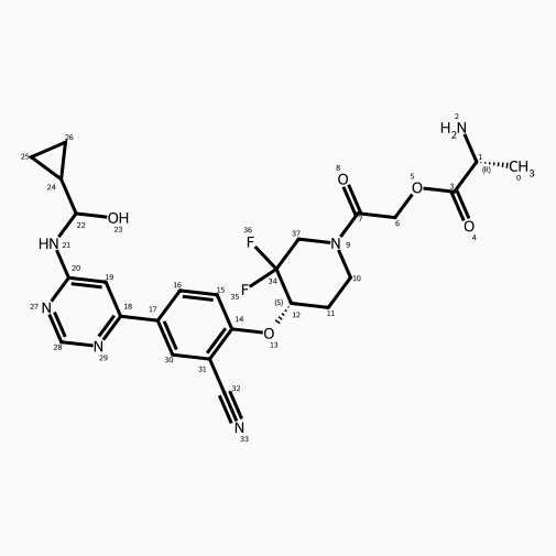 C[C@@H](N)C(=O)OCC(=O)N1CC[C@H](Oc2ccc(-c3cc(NC(O)C4CC4)ncn3)cc2C#N)C(F)(F)C1